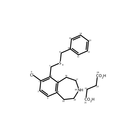 Clc1ccc2c(c1CSCc1ccccc1)CCNCC2.O=C(O)CCC(=O)O